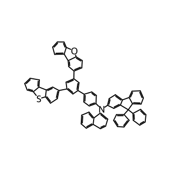 c1ccc(C2(c3ccccc3)c3ccccc3-c3ccc(N(c4ccc(-c5cc(-c6ccc7oc8ccccc8c7c6)cc(-c6ccc7sc8ccccc8c7c6)c5)cc4)c4cccc5ccccc45)cc32)cc1